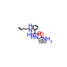 C=CCCCNc1ccccc1C(=N)C(=O)NC(C(N)=O)C(C)(C)C